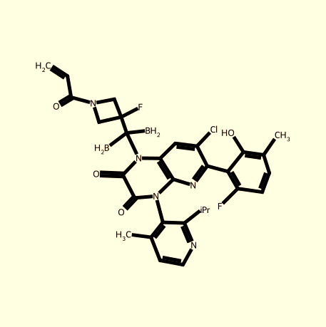 BC(B)(n1c(=O)c(=O)n(-c2c(C)ccnc2C(C)C)c2nc(-c3c(F)ccc(C)c3O)c(Cl)cc21)C1(F)CN(C(=O)C=C)C1